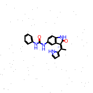 C/C(=C1\C(=O)Nc2ccc(NC(=O)Nc3ccccc3)cc21)c1ccc[nH]1